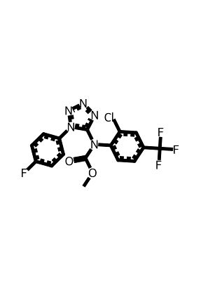 COC(=O)N(c1ccc(C(F)(F)F)cc1Cl)c1nnnn1-c1ccc(F)cc1